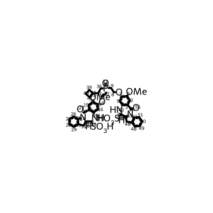 COc1cc2c(cc1OCCP(=O)(CCOc1cc3c(cc1OC)C(=O)N1c4ccccc4C[C@H]1C(S(=O)(=O)O)N3)CCC1CCC1)NC(S(=O)(=O)O)[C@@H]1Cc3ccccc3N1C2=O